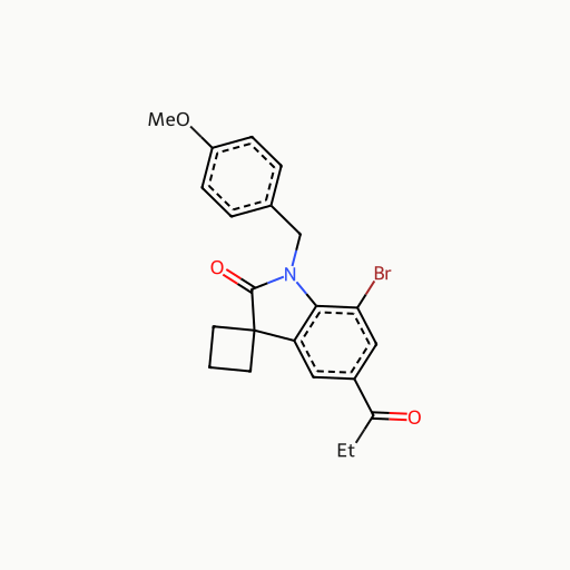 CCC(=O)c1cc(Br)c2c(c1)C1(CCC1)C(=O)N2Cc1ccc(OC)cc1